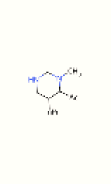 CCCC1CNCN(C)C1C(C)=O